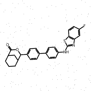 O=C1OC(c2ccc(-c3ccc(Nc4nc5cc(F)ccc5s4)cc3)cc2)C2CCCC1C2